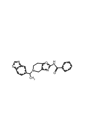 CC(c1ccc2scnc2c1)N1CCc2oc(NC(=O)c3ccccc3)nc2C1